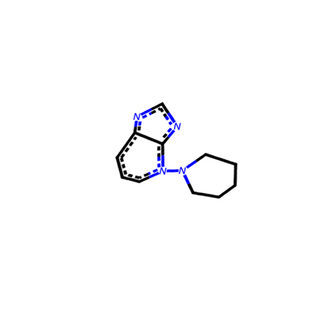 c1cc2ncnc-2n(N2CCCCC2)c1